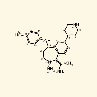 C/C(N)=C1\c2ccc(C3=CCNCC3)cc2C(Nc2ccc(O)cc2)CCN1N